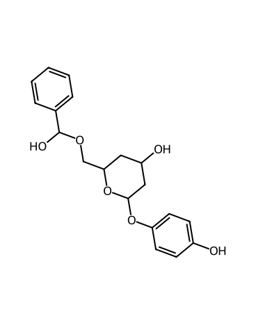 Oc1ccc(OC2CC(O)CC(COC(O)c3ccccc3)O2)cc1